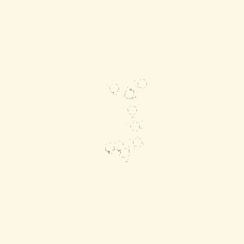 Cc1ccc2ccc3c(-c4cccc(-c5ccc(-c6ccc(-c7nc(-c8ccccc8)nc(-c8ccccn8)n7)cc6)cc5)c4)cc(C)nc3c2n1